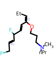 CC/C=C(\C=CC(F)/C=C/CF)OCCCN(C)CCC